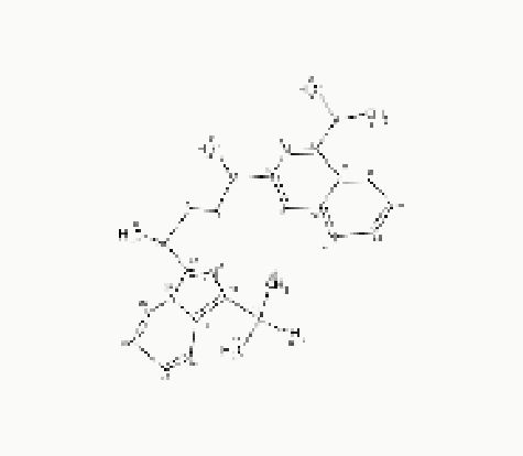 CC(C)c1nc(C(C)CCC(C)c2nc(C(C)(C)C)c3cccnn23)cc2ncccc12